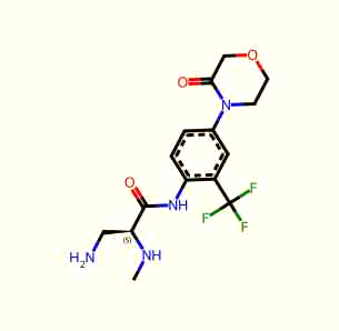 CN[C@@H](CN)C(=O)Nc1ccc(N2CCOCC2=O)cc1C(F)(F)F